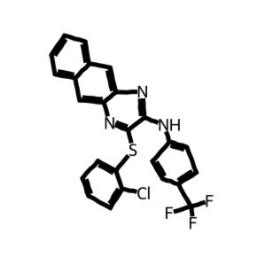 FC(F)(F)c1ccc(Nc2nc3cc4ccccc4cc3nc2Sc2ccccc2Cl)cc1